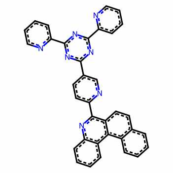 c1ccc(-c2nc(-c3ccc(-c4nc5ccccc5c5c4ccc4ccccc45)nc3)nc(-c3ccccn3)n2)nc1